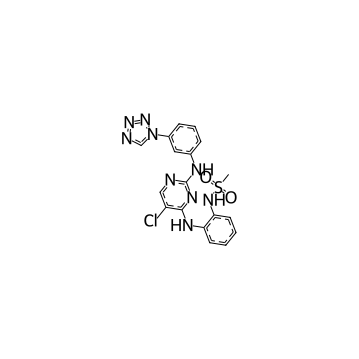 CS(=O)(=O)Nc1ccccc1Nc1nc(Nc2cccc(-n3cnnn3)c2)ncc1Cl